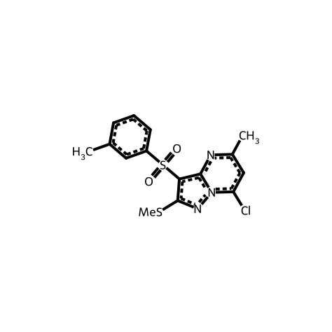 CSc1nn2c(Cl)cc(C)nc2c1S(=O)(=O)c1cccc(C)c1